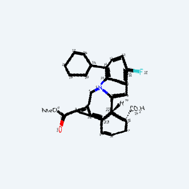 COC(=O)C1=C2Cn3c(cc4c(F)ccc(C5CCCCC5)c43)[C@H]3C(=C21)C=CC[C@H]3C(=O)O